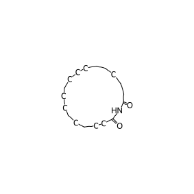 O=C1CCCCCCCCCCCCCCCCC(=O)N1